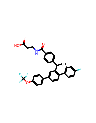 CC(c1ccc(C(=O)NCCC(=O)O)cc1)c1cc(-c2ccc(OC(F)(F)F)cc2)ccc1-c1ccc(F)cc1